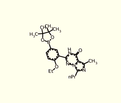 CCCc1nc(C)c2c(=O)[nH]c(-c3cc(B4OC(C)(C)C(C)(C)O4)ccc3OCC)nn12